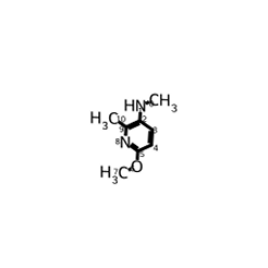 CNc1ccc(OC)nc1C